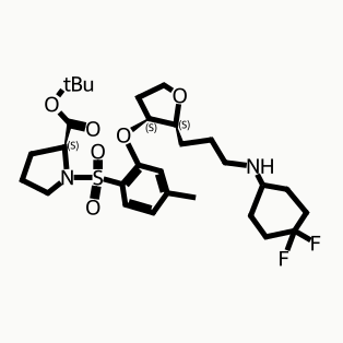 Cc1ccc(S(=O)(=O)N2CCC[C@H]2C(=O)OC(C)(C)C)c(O[C@H]2CCO[C@H]2CCCNC2CCC(F)(F)CC2)c1